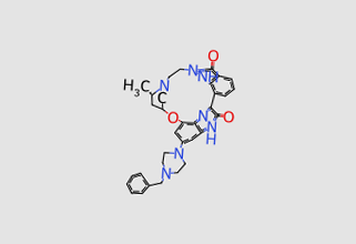 C[C@@H]1CC2CN1CCn1[nH]c3c(cccc3c1=O)-c1nc3c(cc(N4CCN(Cc5ccccc5)CC4)cc3[nH]c1=O)O2